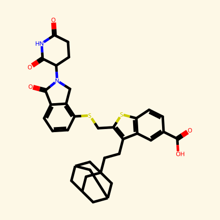 O=C1CCC(N2Cc3c(SCc4sc5ccc(C(=O)O)cc5c4CCC45CC6CC(CC(C6)C4)C5)cccc3C2=O)C(=O)N1